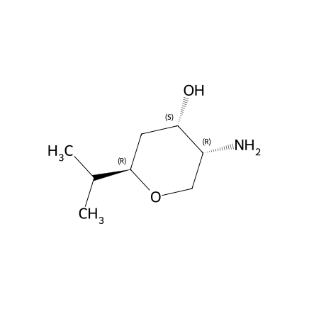 CC(C)[C@H]1C[C@H](O)[C@H](N)CO1